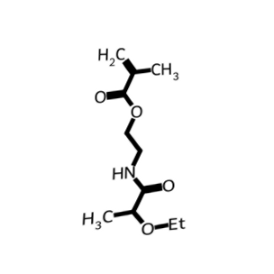 C=C(C)C(=O)OCCNC(=O)C(C)OCC